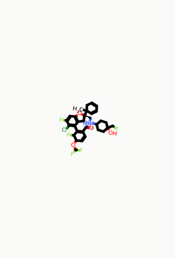 CC1([C@]2(CNC3CCC(O)(CF)CC3)Cc3c(cc(F)c(Cl)c3C3=C(C(N)=O)C=CC(OC(F)F)C3F)O2)C=CC=CC1